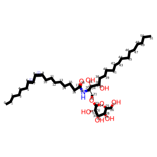 CCCCCC/C=C/C=C\CCCCCCCC(=O)N[C@@H](COC1OC(CO)C(O)C(O)[C@@H]1O)[C@H](O)[C@H](O)CCCCCCCCCCCCCC